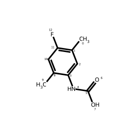 Cc1cc(NC(=O)O)c(C)cc1F